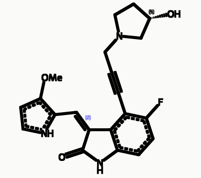 COc1cc[nH]c1/C=C1\C(=O)Nc2ccc(F)c(C#CCN3CC[C@H](O)C3)c21